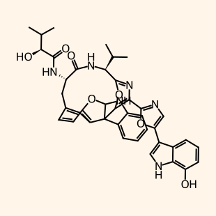 CC(C)[C@H](O)C(=O)N[C@H]1Cc2ccc3c(c2)C2(c4ccccc4NC2O3)c2oc(nc2-c2ncc(-c3c[nH]c4c(O)cccc34)o2)[C@H](C(C)C)NC1=O